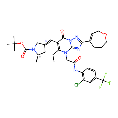 CCc1c(/C=C2\C[C@@H](C)N(C(=O)OC(C)(C)C)C2)c(=O)n2nc(C3=CCOCCC3)nc2n1CC(=O)Nc1ccc(C(F)(F)F)cc1Cl